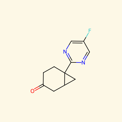 O=C1CCC2(c3ncc(F)cn3)CC2C1